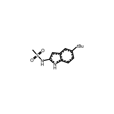 CC(C)(C)c1ccc2[nH]c(NS(C)(=O)=O)cc2c1